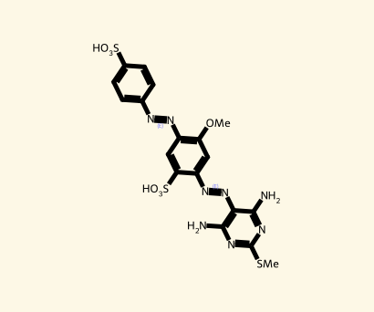 COc1cc(/N=N/c2c(N)nc(SC)nc2N)c(S(=O)(=O)O)cc1/N=N/c1ccc(S(=O)(=O)O)cc1